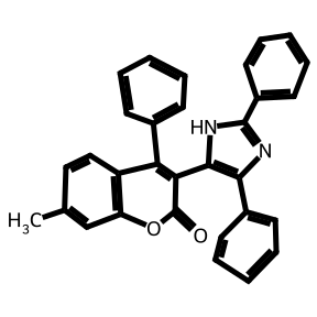 Cc1ccc2c(-c3ccccc3)c(-c3[nH]c(-c4ccccc4)nc3-c3ccccc3)c(=O)oc2c1